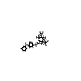 CN(c1ccccc1)c1ccc(COC[C@H]2O[C@@H]3OC(C)(C)O[C@@H]3[C@H]3OC(C)(C)O[C@H]32)cc1